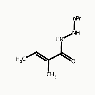 CC=C(C)C(=O)NNCCC